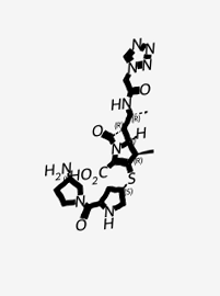 C[C@@H](NC(=O)Cn1cnnn1)[C@H]1C(=O)N2C(C(=O)O)=C(S[C@@H]3CNC(C(=O)N4CC[C@H](N)C4)C3)[C@H](C)[C@H]12